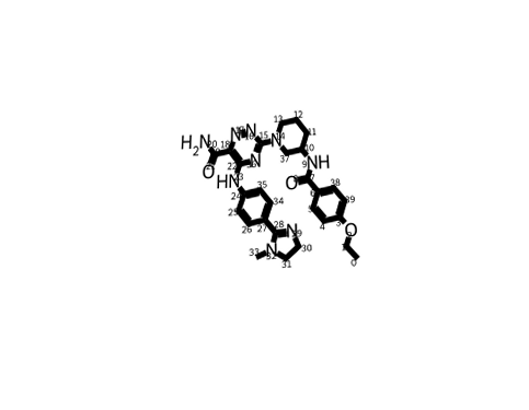 CCOc1ccc(C(=O)NC2CCCN(c3nnc(C(N)=O)c(Nc4ccc(C5=NCCN5C)cc4)n3)C2)cc1